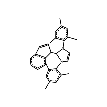 Cc1cc(C)c(N2C=CN(c3c(C)cc(C)cc3C)C2C2C=Cc3ccccc32)c(C)c1